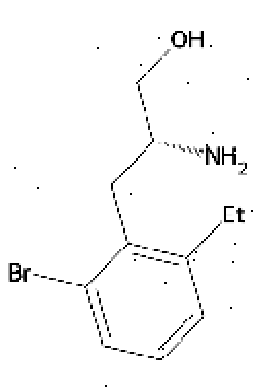 CCc1cccc(Br)c1C[C@@H](N)CO